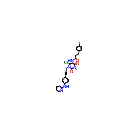 Cc1ccc(CCC(=O)Nc2c(Cl)n(CC#Cc3ccc(Nc4ccccn4)cc3)c(=O)n(C)c2=O)cc1